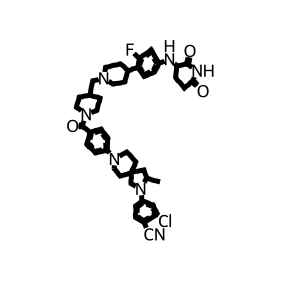 CC1CC2(CCN(c3ccc(C(=O)N4CCC(CN5CCC(c6ccc(NC7CCC(=O)NC7=O)cc6F)CC5)CC4)cc3)CC2)CN1c1ccc(C#N)c(Cl)c1